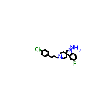 NN1CC2(CCN(CC=Cc3ccc(Cl)cc3)CC2)c2cc(F)ccc21